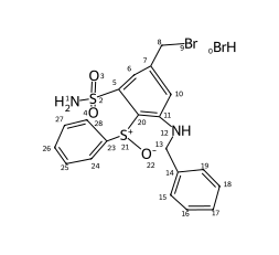 Br.NS(=O)(=O)c1cc(CBr)cc(NCc2ccccc2)c1[S+]([O-])c1ccccc1